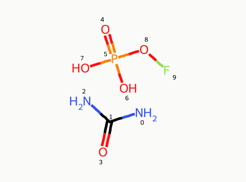 NC(N)=O.O=P(O)(O)OF